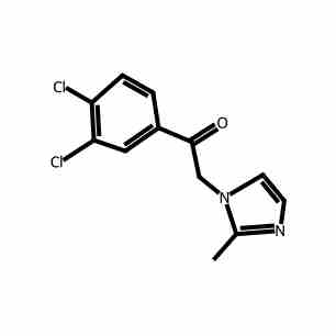 Cc1nccn1CC(=O)c1ccc(Cl)c(Cl)c1